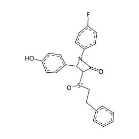 O=C1C([S+]([O-])CCc2ccccc2)C(c2ccc(O)cc2)N1c1ccc(F)cc1